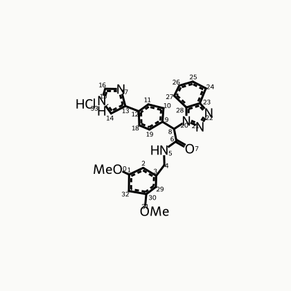 COc1cc(CNC(=O)C(c2ccc(-c3c[nH]cn3)cc2)n2nnc3ccccc32)cc(OC)c1.Cl